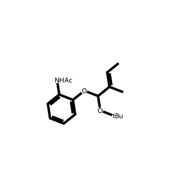 CC=C(C)C(Oc1ccccc1NC(C)=O)OC(C)(C)C